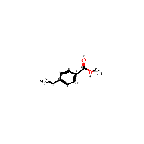 CCc1c[c]c(C(=O)OC)cc1